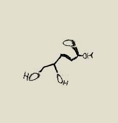 O=C(O)/C=C/C(O)CO